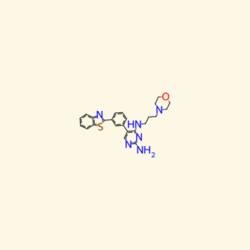 Nc1ncc(-c2cccc(-c3nc4ccccc4s3)c2)c(NCCCN2CCOCC2)n1